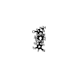 [2H]c1nc(N([2H])C2([2H])C([2H])([2H])C([2H])([2H])N(C([2H])([2H])c3c([2H])c([2H])c(F)c(C#N)c3[2H])C([2H])([2H])C2([2H])[2H])c2c([2H])c(Cl)sc2n1